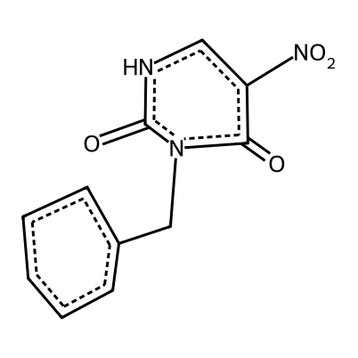 O=c1[nH]cc([N+](=O)[O-])c(=O)n1Cc1ccccc1